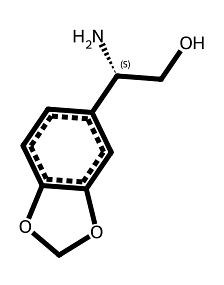 N[C@H](CO)c1ccc2c(c1)OCO2